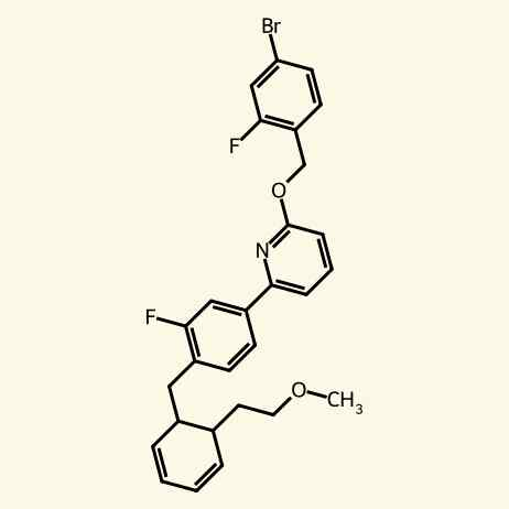 COCCC1C=CC=CC1Cc1ccc(-c2cccc(OCc3ccc(Br)cc3F)n2)cc1F